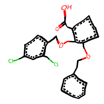 O=C(O)c1cccc(OCc2ccccc2)c1OCc1ccc(Cl)cc1Cl